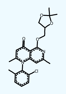 Cc1cc2c(c(OCC3COC(C)(C)O3)n1)c(=O)cc(C)n2-c1c(C)cccc1Cl